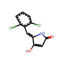 O=C1C=C(O)/C(=C/c2c(Cl)cccc2Cl)N1